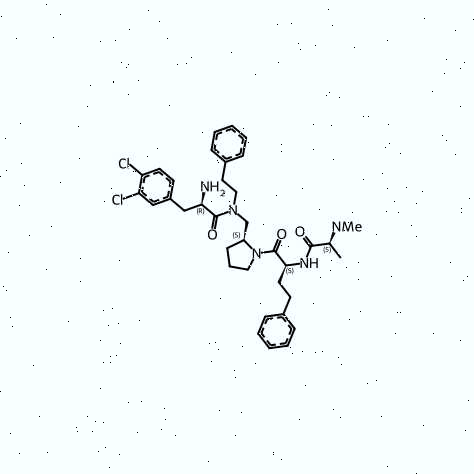 CN[C@@H](C)C(=O)N[C@@H](CCc1ccccc1)C(=O)N1CCC[C@H]1CN(CCc1ccccc1)C(=O)[C@H](N)Cc1ccc(Cl)c(Cl)c1